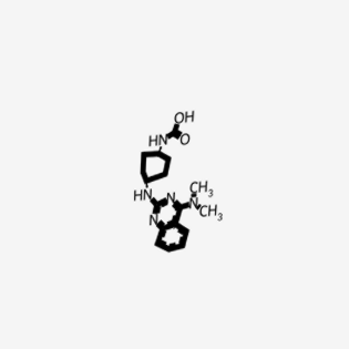 CN(C)c1nc(N[C@H]2CC[C@@H](NC(=O)O)CC2)nc2ccccc12